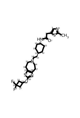 Cc1ncc(CC(=O)N[C@H]2CC[C@H](CCN3CCc4nc(OC5CC(F)(F)C5)sc4CC3)CC2)s1